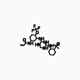 C=CC(=O)NC1CCC(OC(F)(F)F)C(NC2NCNC(NC3CCCCC3P(C)(C)=O)N2)C1